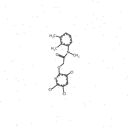 Cc1cccc(N(C)C(=O)COc2nc(Cl)c(Cl)cc2Cl)c1C